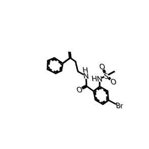 C=C(CCNC(=O)c1ccc(Br)cc1NS(C)(=O)=O)c1ccccc1